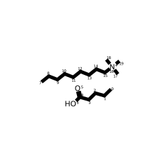 CCCCC(=O)O.CCCCCCCCC[N+](C)(C)C